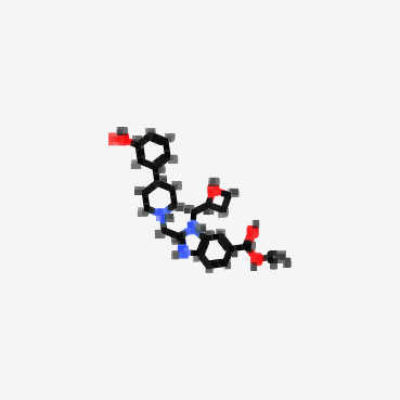 COC(=O)c1ccc2nc(CN3CCC(c4cccc(O)c4)CC3)n(CC3CCO3)c2c1